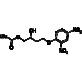 CC(C)(C)C(=O)OCC(O)CCOc1ccc([N+](=O)[O-])cc1[N+](=O)[O-]